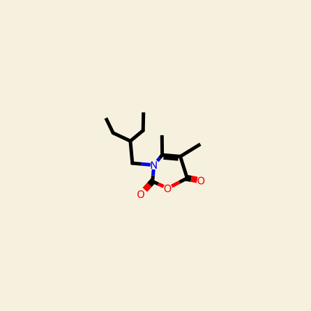 CCC(CC)Cn1c(C)c(C)c(=O)oc1=O